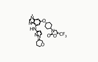 Cn1cnc2c(Nc3ccn([C@@H]4CCCOC4)n3)cc(OC3CCC(N4C[C@H](C(F)(F)F)OC4=O)CC3)cc21